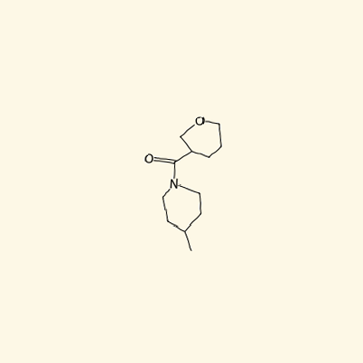 CC1CCN(C(=O)C2CCCOC2)CC1